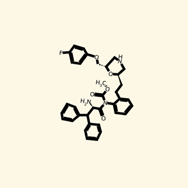 COC(=O)N(C(=O)[C@@H](N)C(c1ccccc1)c1ccccc1)c1ccccc1CC[C@@H]1CNC[C@@H](COc2ccc(F)cc2)O1